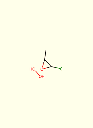 CC1OC1Cl.OO